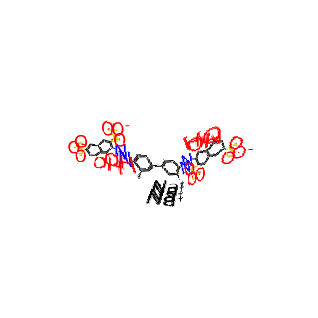 Cc1cc(-c2ccc(N=Nc3c(S(=O)(=O)[O-])cc4cc(S(=O)(=O)[O-])cc(O)c4c3O)c(C)c2)ccc1N=Nc1c(S(=O)(=O)[O-])cc2cc(S(=O)(=O)[O-])cc(O)c2c1O.[Na+].[Na+].[Na+].[Na+]